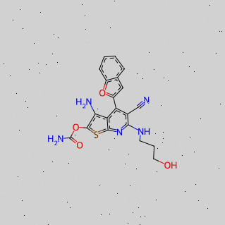 N#Cc1c(NCCCO)nc2sc(OC(N)=O)c(N)c2c1-c1cc2ccccc2o1